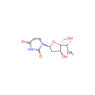 CC(F)[C@]1(CO)O[C@H](n2ccc(=O)[nH]c2=O)C[C@@H]1O